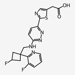 O=C(O)Cc1cnc(-c2ccc(NCC3(c4ncccc4F)CC(F)C3)nn2)s1